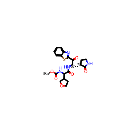 CC(C)(C)OC(=O)NC(C(=O)N[C@@H](C[C@@H]1CCNC1=O)C(=O)c1nc2ccccc2s1)C1CCOC1